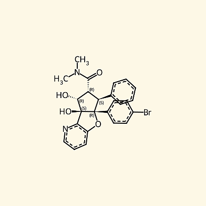 CN(C)C(=O)[C@H]1[C@@H](O)[C@@]2(O)c3ncccc3O[C@@]2(c2ccc(Br)cc2)[C@@H]1c1ccccc1